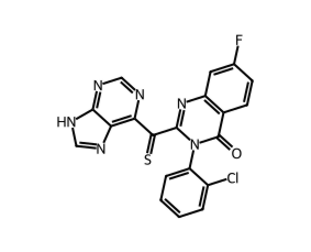 O=c1c2ccc(F)cc2nc(C(=S)c2ncnc3[nH]cnc23)n1-c1ccccc1Cl